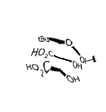 CC(C)(C)OO.O=C(O)O.O=C(O)O